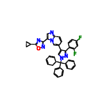 Fc1ccc(-c2nn(C(c3ccccc3)(c3ccccc3)C3C=CC=CC3)cc2-c2ccc3ncc(-c4noc(C5CC5)n4)n3c2)c(F)c1